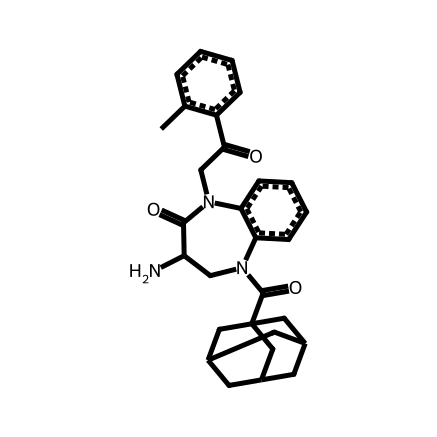 Cc1ccccc1C(=O)CN1C(=O)C(N)CN(C(=O)C23CC4CC(CC(C4)C2)C3)c2ccccc21